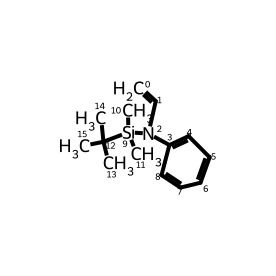 C=CN(c1ccccc1)[Si](C)(C)C(C)(C)C